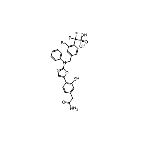 NC(=O)Cc1ccc(-c2cnc(N(Cc3ccc(C(F)(F)P(=O)(O)O)c(Br)c3)c3ccccc3)o2)c(S)c1